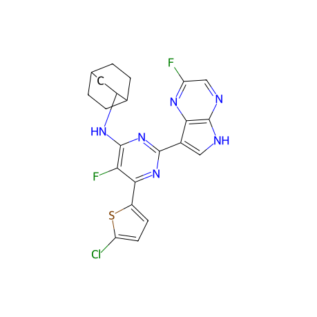 Fc1cnc2[nH]cc(-c3nc(NC4CC5CCC4CC5)c(F)c(-c4ccc(Cl)s4)n3)c2n1